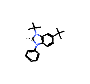 C[C@H]1N(c2ccccc2)c2ccc(C(C)(C)C)cc2N1C(C)(C)C